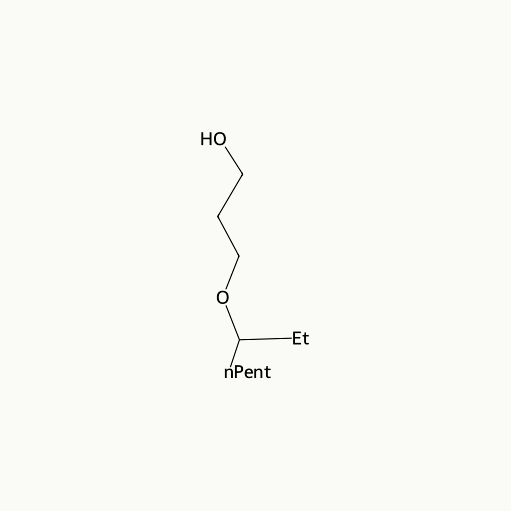 CCCCCC(CC)OCCCO